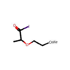 COCCOC(C)C(=O)I